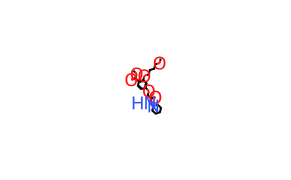 COCCCCOc1cc(OCC(=O)NN2CCCCC2)ccc1C(=O)OC